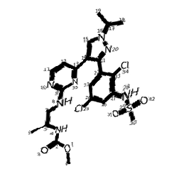 COC(=O)N[C@@H](C)CNc1nccc(-c2cn(C(C)C)nc2-c2cc(Cl)cc(NS(C)(=O)=O)c2Cl)n1